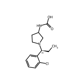 CC[C@@H](c1ccccc1Cl)N1CCC(NC(=O)O)C1